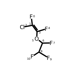 FC(Cl)=C(F)OC(F)C(F)F